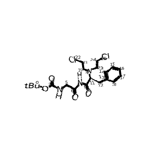 CC(C)(C)OC(=O)NCC(=O)NC(=O)[C@H](Cc1ccccc1)N(CCCl)CCCl